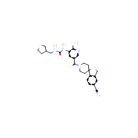 Cc1ncc(C(=O)N2CCC3(CC2)OCc2cc(C#N)ccc23)cc1NC(=O)NCC1CCOC1